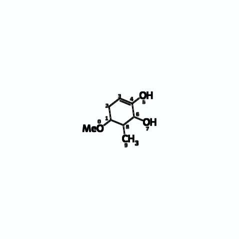 COC1CC=C(O)C(O)C1C